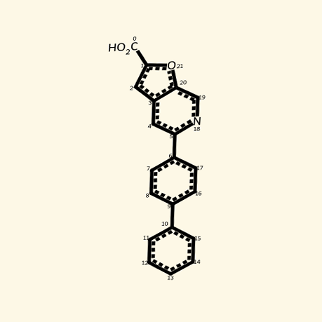 O=C(O)c1cc2cc(-c3ccc(-c4ccccc4)cc3)ncc2o1